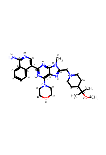 COC(C)(C)C1CCN(Cc2nc3c(N4CCOCC4)nc(-c4cnc(N)c5ccccc45)nc3n2C)CC1